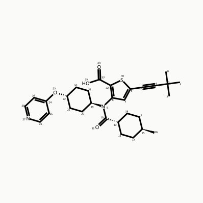 CC(C)(C)C#Cc1cc(N(C(=O)[C@H]2CC[C@H](C)CC2)[C@H]2CC[C@H](Oc3ccncc3)CC2)c(C(=O)O)s1